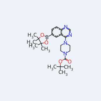 CC(C)(C)OC(=O)N1CCN(c2ncnc3ccc(B4OC(C)(C)C(C)(C)O4)cc23)CC1